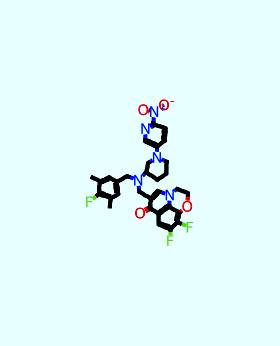 Cc1cc(CN(Cc2cn3c4c(c(F)c(F)cc4c2=O)OCC3)C2CCCN(c3ccc([N+](=O)[O-])nc3)C2)cc(C)c1F